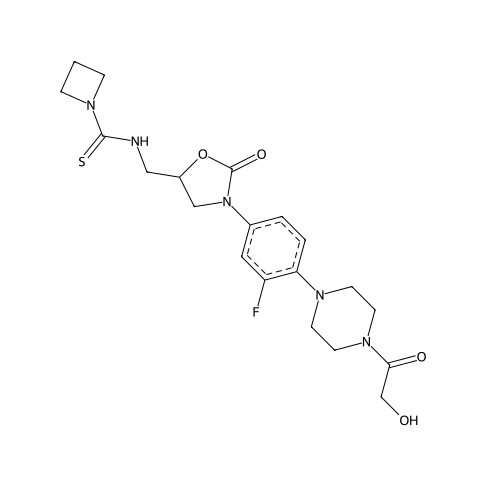 O=C(CO)N1CCN(c2ccc(N3CC(CNC(=S)N4CCC4)OC3=O)cc2F)CC1